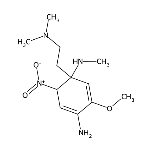 CNC1(CCN(C)C)C=C(OC)C(N)=CC1[N+](=O)[O-]